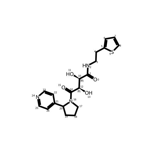 O=C(NCCc1cccs1)[C@H](O)[C@@H](O)C(=O)N1CCCC1c1ccncc1